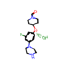 Cl.Cl.O=CN1CCC(Oc2cc(F)cc(N3CCNCC3)c2)CC1